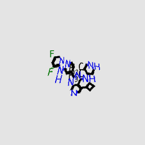 CC1(C)CNCC[C@@H]1Nc1nc(-c2ccnc(Nc3ncc(F)cc3F)c2)nc2cncc(C3CCC3)c12